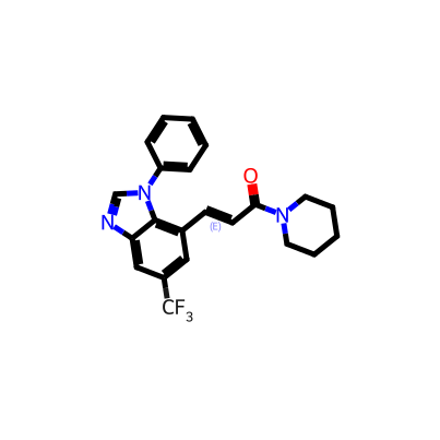 O=C(/C=C/c1cc(C(F)(F)F)cc2ncn(-c3ccccc3)c12)N1CCCCC1